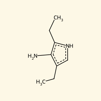 CCc1c[nH]c(CC)c1N